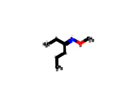 CCC/C(CC)=N\OC